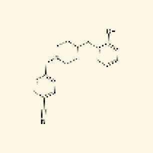 N#Cc1ccc(CN2CCC(Cc3ccccc3O)CC2)cc1